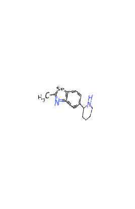 Cc1nc2cc(C3CCCCN3)ccc2[se]1